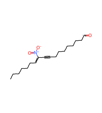 CCCCCCC=C(C#CCCCCCCC[C]=O)[N+](=O)[O-]